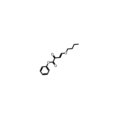 CCCCOC=CC(=O)C(=O)Oc1ccccc1